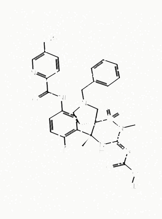 COc1ccc(C(=O)Nc2ccc(F)c([C@@]3(C)N/C(=N\C(=O)OC(C)(C)C)N(C)S(=O)(=O)[C@@]34CCN(Cc3ccccc3)C4)c2)nc1